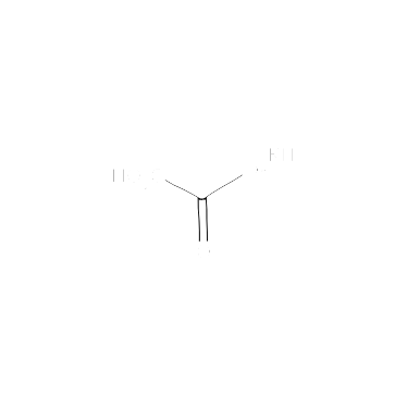 CC(C)C(=O)C(=O)O.[KH]